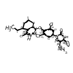 CCC1CCCc2c(Oc3c(Cl)cc(-n4nc(N)c(=O)[nH]c4=O)cc3Cl)n[nH]c(=O)c21